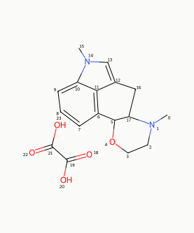 CN1CCOC2c3cccc4c3c(cn4C)CC21.O=C(O)C(=O)O